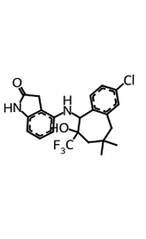 CC1(C)Cc2cc(Cl)ccc2C(Nc2cccc3c2CC(=O)N3)C(O)(C(F)(F)F)C1